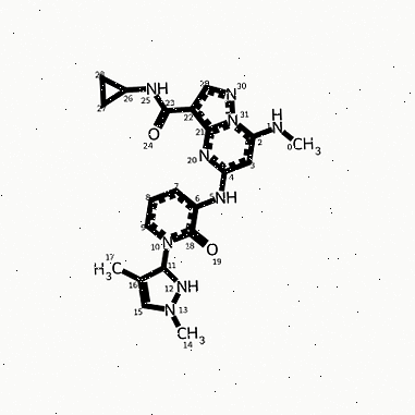 CNc1cc(Nc2cccn(C3NN(C)C=C3C)c2=O)nc2c(C(=O)NC3CC3)cnn12